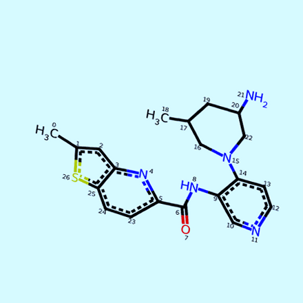 Cc1cc2nc(C(=O)Nc3cnccc3N3CC(C)CC(N)C3)ccc2s1